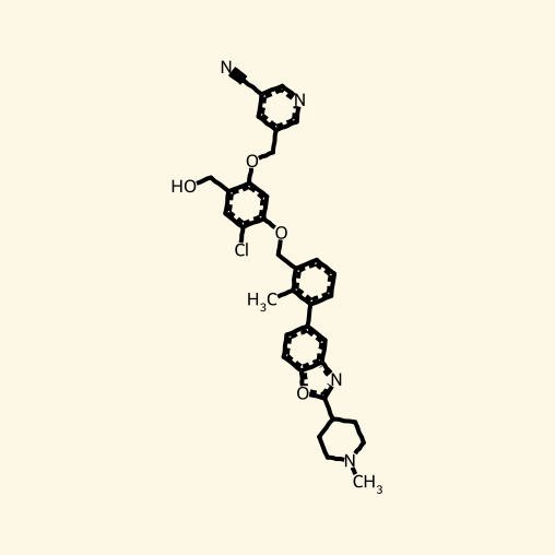 Cc1c(COc2cc(OCc3cncc(C#N)c3)c(CO)cc2Cl)cccc1-c1ccc2oc(C3CCN(C)CC3)nc2c1